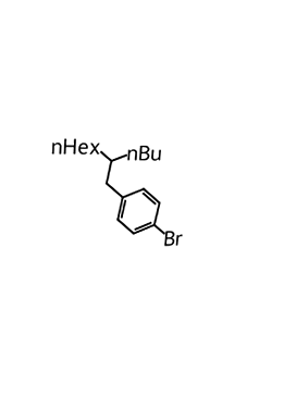 CCCCCCC(CCCC)Cc1ccc(Br)cc1